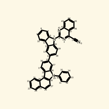 N#Cc1nc(-n2c3ccccc3c3cc(-c4ccc5c6c7ccccc7ccc6n(-c6ccccc6)c5c4)ccc32)nc2ccccc12